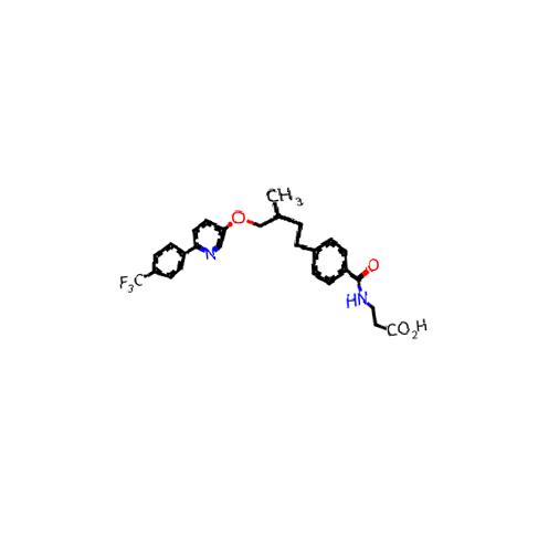 CC(CCc1ccc(C(=O)NCCC(=O)O)cc1)COc1ccc(-c2ccc(C(F)(F)F)cc2)nc1